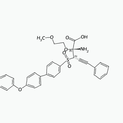 COCCO[C@](N)(C(=O)O)[C@H](C#Cc1ccccc1)S(=O)(=O)c1ccc(-c2ccc(Oc3ccccc3)cc2)cc1